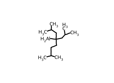 CC(C)CC[C]([AlH2])(CC(C)C)CC(C)C